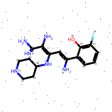 N=C(N)/C(N)=C(/C=C(\N)c1cccc(F)c1O)NC1CCNCC1